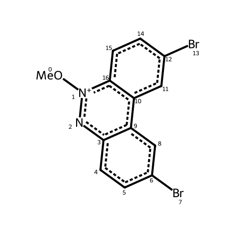 CO[n+]1nc2ccc(Br)cc2c2cc(Br)ccc21